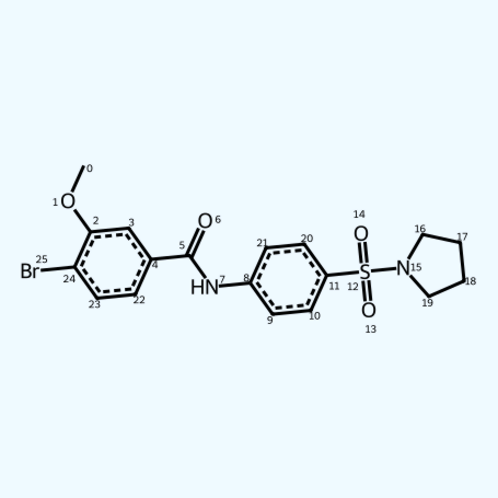 COc1cc(C(=O)Nc2ccc(S(=O)(=O)N3CCCC3)cc2)ccc1Br